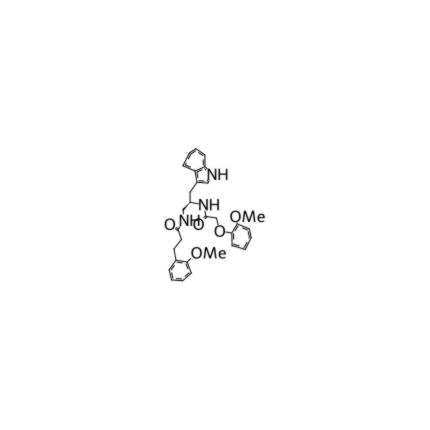 COc1ccccc1CCC(=O)NC[C@@H](Cc1c[nH]c2ccccc12)NC(=O)COc1ccccc1OC